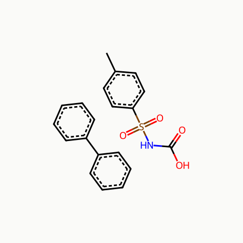 Cc1ccc(S(=O)(=O)NC(=O)O)cc1.c1ccc(-c2ccccc2)cc1